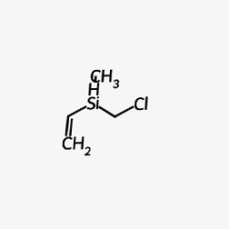 C=C[SiH](C)CCl